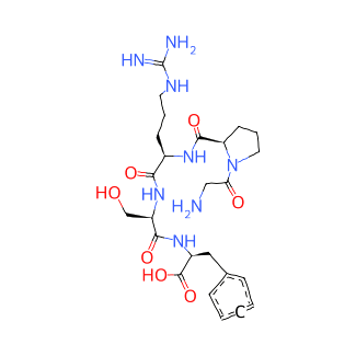 N=C(N)NCCC[C@@H](NC(=O)[C@H]1CCCN1C(=O)CN)C(=O)N[C@H](CO)C(=O)N[C@@H](Cc1ccccc1)C(=O)O